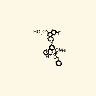 COc1cc(N2CCC3(CC2)C[C@@H](CC(=O)O)c2ccc(F)cc23)cc2c1N(C(=O)OCc1ccccc1)C[C@@H]1CCCN21